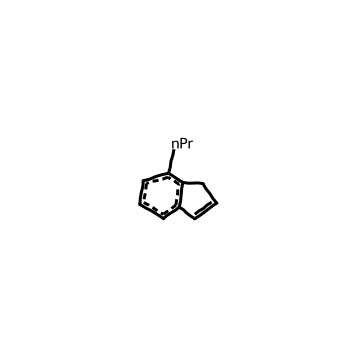 CCCc1cccc2c1CC=C2